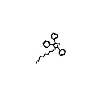 N#CCCCCCCn1c(-c2ccccc2)nc(-c2ccccc2)c1-c1ccccc1